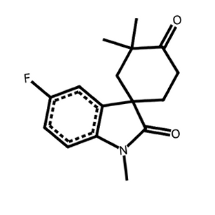 CN1C(=O)C2(CCC(=O)C(C)(C)C2)c2cc(F)ccc21